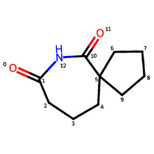 O=C1CCCC2(CCCC2)C(=O)N1